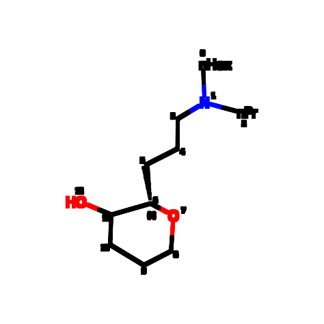 CCCCCCN(CCC)CCC[C@@H]1OCCCC1O